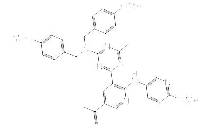 C=C(C)c1cnc(Nc2ccc(OC)nc2)c(-c2nc(C)nc(N(Cc3ccc(OC)cc3)Cc3ccc(OC)cc3)n2)c1